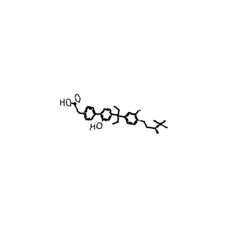 CCC(CC)(c1ccc(CCC(C)C(C)(C)C)c(C)c1)c1ccc(-c2ccc(CC(=O)O)cc2)c(O)c1